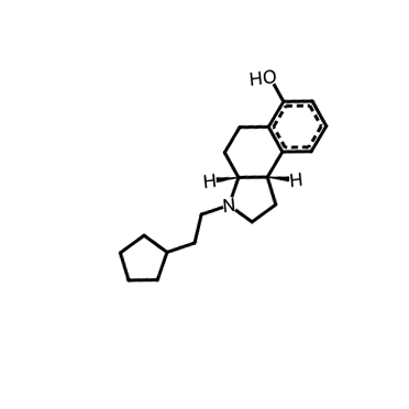 Oc1cccc2c1CC[C@@H]1[C@H]2CCN1CCC1CCCC1